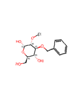 CCO[C@@H]1[C@@H](OCc2ccccc2)[C@H](O)[C@@H](CO)O[C@@H]1O